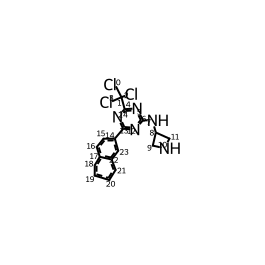 ClC(Cl)(Cl)c1nc(NC2CNC2)nc(-c2ccc3ccccc3c2)n1